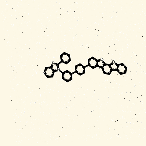 c1ccc(-c2nc3ccccc3n2-c2cccc(-c3ccc(-c4ccc5oc6c(ccc7c8ccccc8oc76)c5c4)cc3)c2)cc1